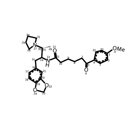 COc1ccc(C(=O)CCCCC(=O)NC(Cc2ccc3c(c2)OCO3)[C@@H](C)N2CCCC2)cc1